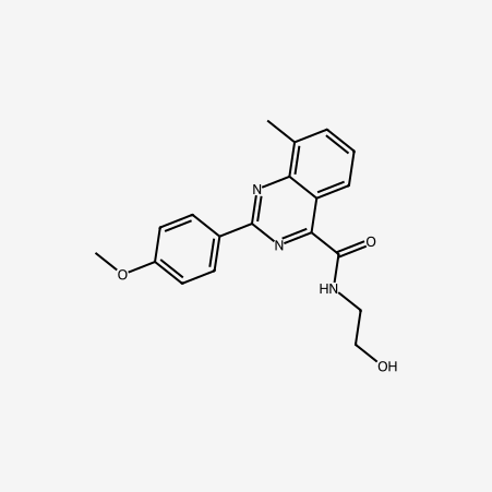 COc1ccc(-c2nc(C(=O)NCCO)c3cccc(C)c3n2)cc1